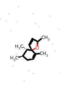 CC1=CC[C@@H](C)[C@H](C)[C@]12C=CC(C)O2